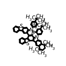 CC(C)(C)c1ccc(N2B3c4cc(C(C)(C)C)ccc4-n4c5cc6c(cc5c5c7sc8ccccc8c7c(c3c54)-c3cc4c(cc32)sc2ccccc24)C(C)(C)CCC6(C)C)cc1